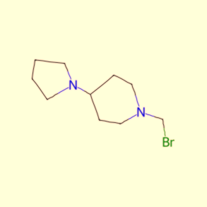 BrCN1CCC(N2CCCC2)CC1